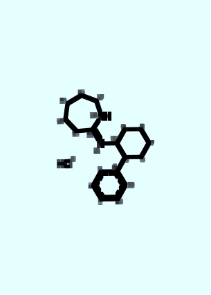 Cl.c1ccc(C2CCCCC2N=C2CCCCCN2)cc1